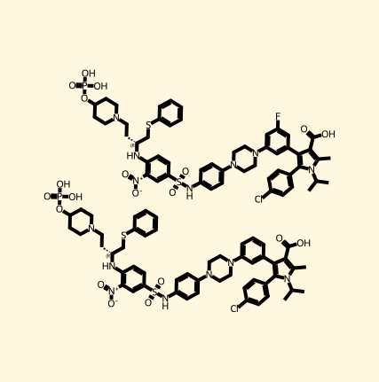 Cc1c(C(=O)O)c(-c2cc(F)cc(N3CCN(c4ccc(NS(=O)(=O)c5ccc(N[C@H](CCN6CCC(OP(=O)(O)O)CC6)CSc6ccccc6)c([N+](=O)[O-])c5)cc4)CC3)c2)c(-c2ccc(Cl)cc2)n1C(C)C.Cc1c(C(=O)O)c(-c2cccc(N3CCN(c4ccc(NS(=O)(=O)c5ccc(N[C@H](CCN6CCC(OP(=O)(O)O)CC6)CSc6ccccc6)c([N+](=O)[O-])c5)cc4)CC3)c2)c(-c2ccc(Cl)cc2)n1C(C)C